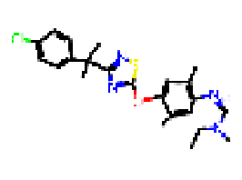 CCN(C)/C=N\c1cc(C)c(Oc2nc(C(C)(C)c3ccc(Cl)cc3)ns2)cc1C